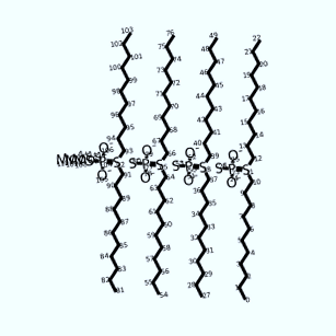 CCCCCCCCCCCS(CCCCCCCCCCC)=P([O-])([O-])[S-].CCCCCCCCCCCS(CCCCCCCCCCC)=P([O-])([O-])[S-].CCCCCCCCCCCS(CCCCCCCCCCC)=P([O-])([O-])[S-].CCCCCCCCCCCS(CCCCCCCCCCC)=P([O-])([O-])[S-].[Mo+4].[Mo+4].[Mo+4]